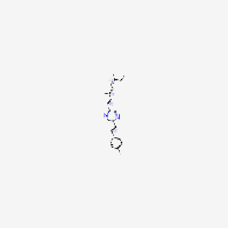 CC\C(C)=C/C=C(C)/C=C/c1cnc(/C=C/c2ccc(C)cc2)cn1